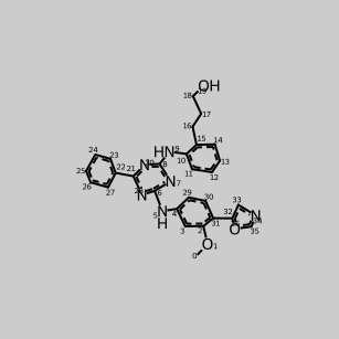 COc1cc(Nc2nc(Nc3ccccc3CCCO)nc(-c3ccccc3)n2)ccc1-c1cnco1